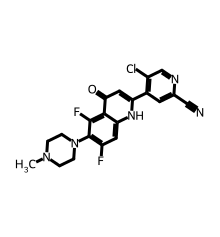 CN1CCN(c2c(F)cc3[nH]c(-c4cc(C#N)ncc4Cl)cc(=O)c3c2F)CC1